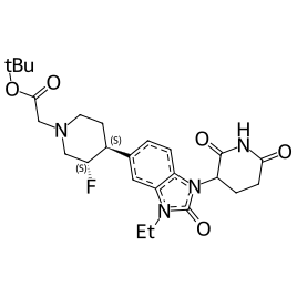 CCn1c(=O)n(C2CCC(=O)NC2=O)c2ccc([C@@H]3CCN(CC(=O)OC(C)(C)C)C[C@H]3F)cc21